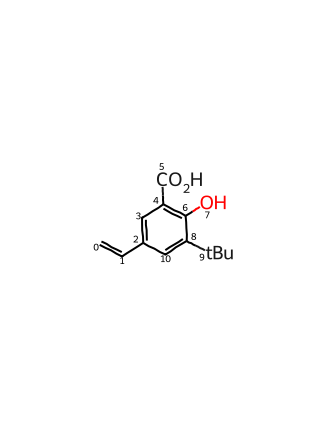 C=Cc1cc(C(=O)O)c(O)c(C(C)(C)C)c1